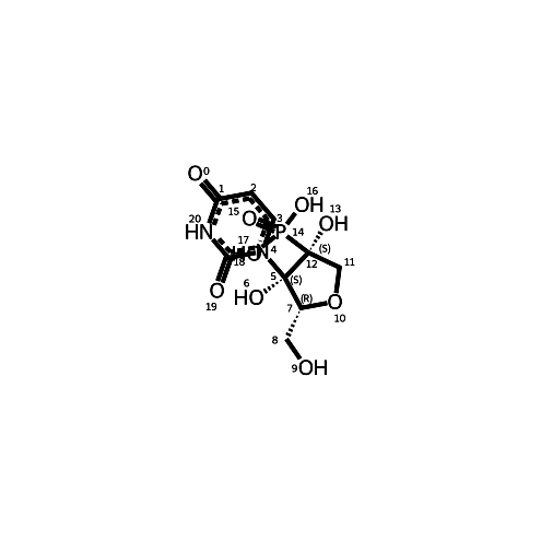 O=c1ccn([C@]2(O)[C@@H](CO)OC[C@]2(O)P(=O)(O)O)c(=O)[nH]1